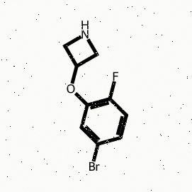 Fc1ccc(Br)cc1OC1CNC1